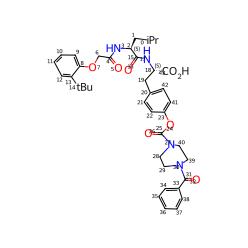 CC(C)C[C@H](NC(=O)COc1ccccc1C(C)(C)C)C(=O)N[C@@H](Cc1ccc(OC(=O)N2CCN(C(=O)c3ccccc3)CC2)cc1)C(=O)O